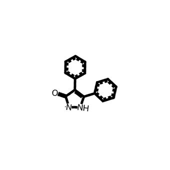 O=C1[N]NC(c2ccccc2)=C1c1ccccc1